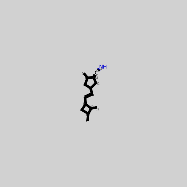 CC1CC(/C=C/C2CC(C)C2C)CC1=C=N